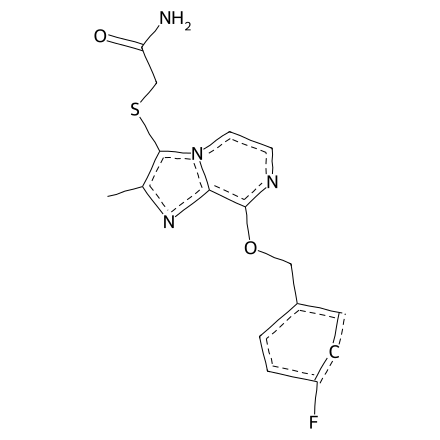 Cc1nc2c(OCc3ccc(F)cc3)nccn2c1SCC(N)=O